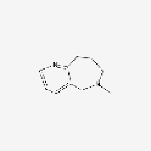 CN1CCCc2ncccc2C1